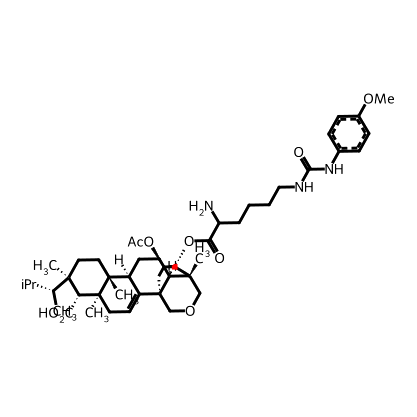 COc1ccc(NC(=O)NCCCCC(N)C(=O)O[C@H]2[C@H](OC(C)=O)C[C@@]34COC[C@]2(C)[C@@H]3CC[C@H]2C4=CC[C@@]3(C)[C@H](C(=O)O)[C@@](C)([C@H](C)C(C)C)CC[C@]23C)cc1